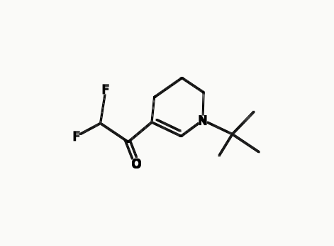 CC(C)(C)N1C=C(C(=O)C(F)F)CCC1